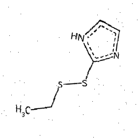 CCSSc1ncc[nH]1